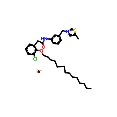 CCCCCCCCCCCCCCOc1c(Cl)cccc1CC(=O)Nc1cccc(C[n+]2csc(C)c2)c1.[Br-]